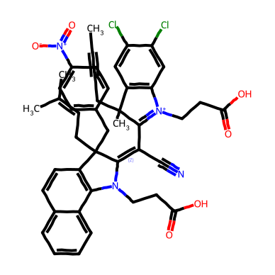 CC#CCC1(C)C(/C(C#N)=C2/N(CCC(=O)O)c3c(ccc4ccccc34)C2(CC=C(C)C)Cc2ccc([N+](=O)[O-])cc2)=[N+](CCC(=O)O)c2cc(Cl)c(Cl)cc21